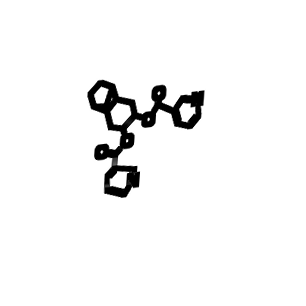 O=C(OC1CC2C3CCC(C3)C2CC1OC(=O)c1cccnc1)c1cccnc1